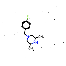 CC1CN(Cc2ccc(F)cc2)CC(C)N1